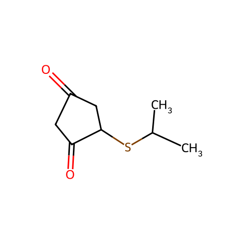 CC(C)SC1CC(=O)CC1=O